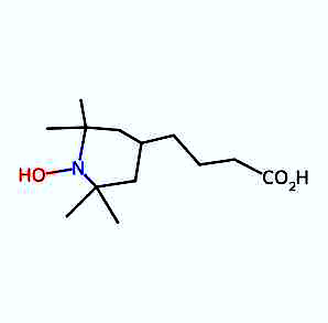 CC1(C)CC(CCCC(=O)O)CC(C)(C)N1O